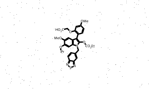 CCOC(=O)Oc1c(-c2ccc(OC)cc2OCC(=O)O)c2cc(OC)c(OC(C)C)cc2n1Cc1ccc2nsnc2c1